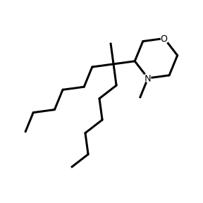 CCCCCCC(C)(CCCCCC)C1COCCN1C